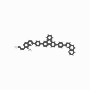 C=C/C=C\c1ccc2ccc(-c3ccc(-c4ccc5c6ccc(-c7ccc(-c8ccc9c(n8)C8=C(CCC=N8)CC9)cc7)cc6c6ccccc6c5c4)cc3)nc2c1C